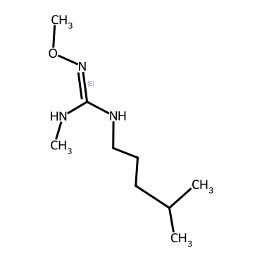 CN/C(=N\OC)NCCCC(C)C